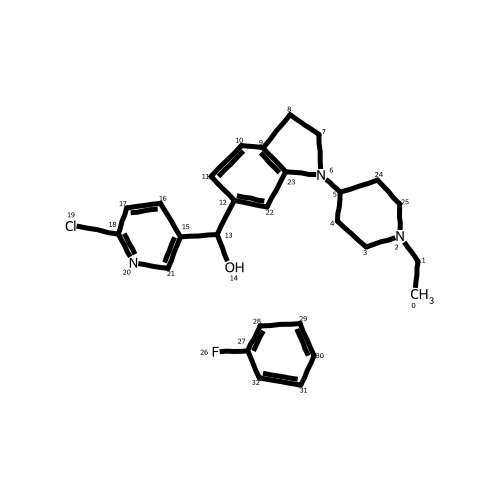 CCN1CCC(N2CCc3ccc(C(O)c4ccc(Cl)nc4)cc32)CC1.Fc1ccccc1